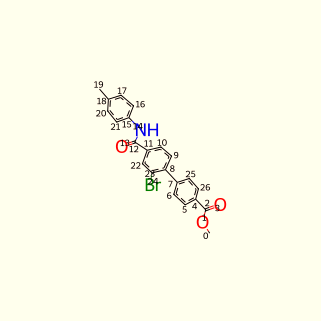 COC(=O)c1ccc(-c2ccc(C(=O)Nc3ccc(C)cc3)cc2Br)cc1